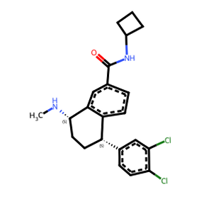 CN[C@H]1CC[C@@H](c2ccc(Cl)c(Cl)c2)c2ccc(C(=O)NC3CCC3)cc21